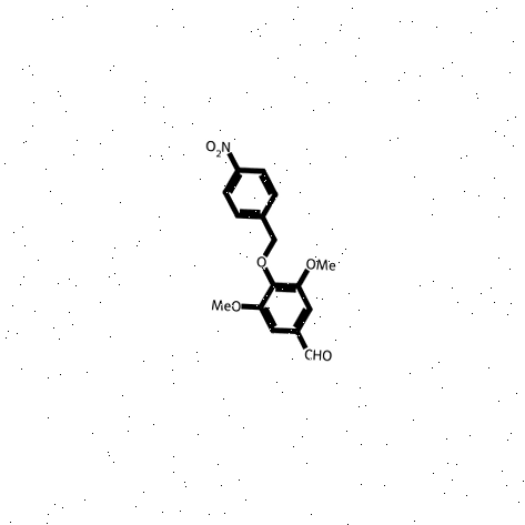 COc1cc(C=O)cc(OC)c1OCc1ccc([N+](=O)[O-])cc1